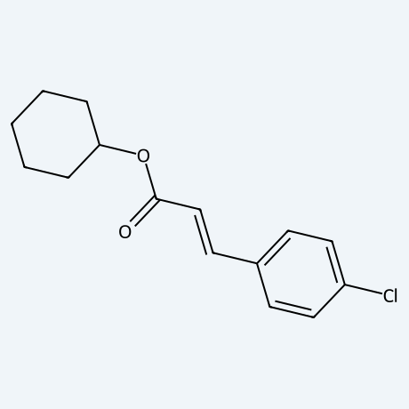 O=C(C=Cc1ccc(Cl)cc1)OC1CCCCC1